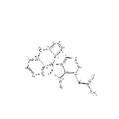 NC(=O)Nc1cccc2c1C(=O)OC21c2ccccc2Oc2ccccc21